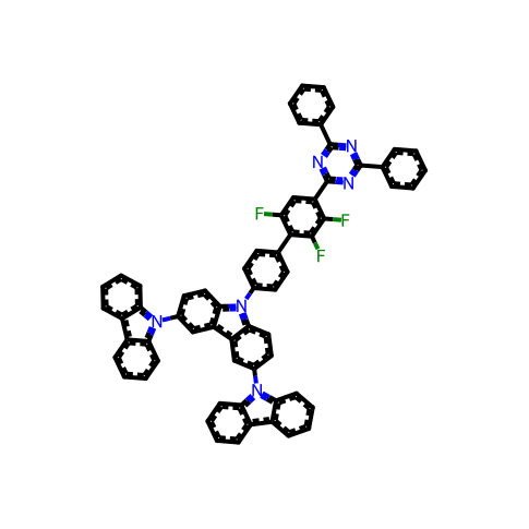 Fc1cc(-c2nc(-c3ccccc3)nc(-c3ccccc3)n2)c(F)c(F)c1-c1ccc(-n2c3ccc(-n4c5ccccc5c5ccccc54)cc3c3cc(-n4c5ccccc5c5ccccc54)ccc32)cc1